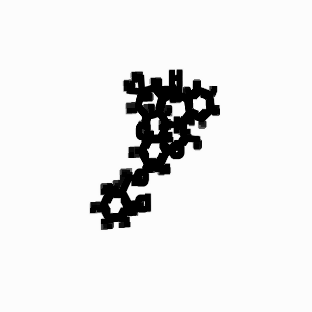 CC(=O)N1c2ccccc2NC2=C(C(=O)CC(C)(C)C2)C1c1ccc(OCc2ccccc2Cl)cc1